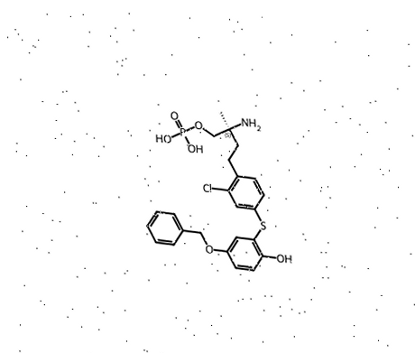 C[C@](N)(CCc1ccc(Sc2cc(OCc3ccccc3)ccc2O)cc1Cl)COP(=O)(O)O